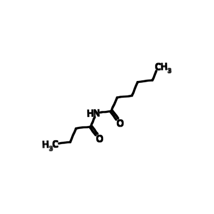 CCCCCC(=O)NC(=O)CCC